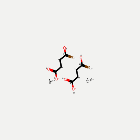 O=C([O-])CCC([O-])=S.O=C([O-])CCC([O-])=S.[Au+3].[Na+]